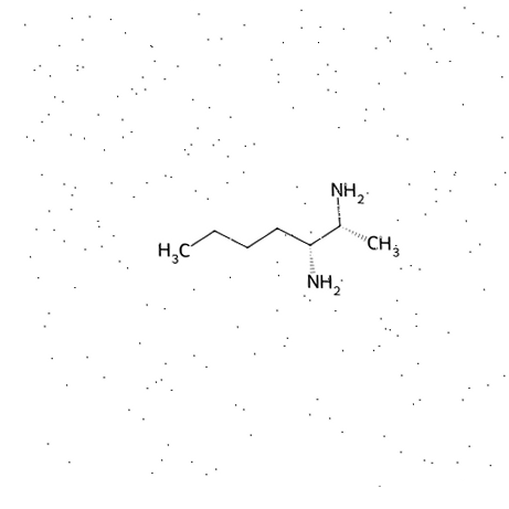 CCCC[C@@H](N)[C@@H](C)N